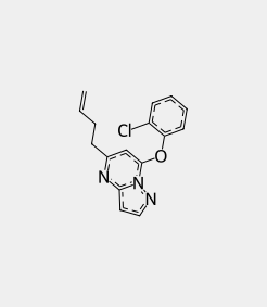 C=CCCc1cc(Oc2ccccc2Cl)n2nccc2n1